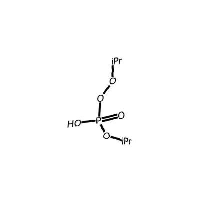 CC(C)OOP(=O)(O)OC(C)C